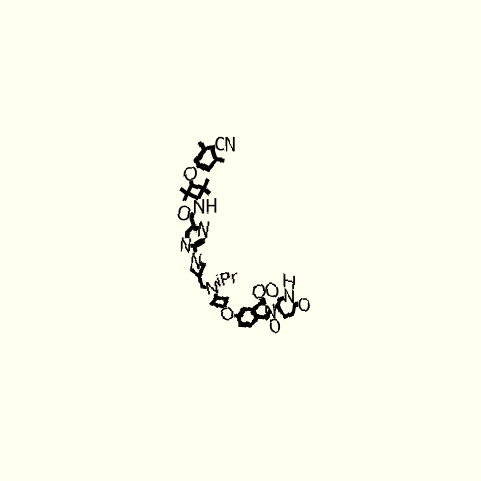 Cc1cc(OC2C(C)(C)C(NC(=O)c3cnc(N4CC(CN(C(C)C)C5CC(Oc6ccc7c(c6)C(=O)N([C@@H]6CCC(=O)NC6=O)C7=O)C5)C4)cn3)C2(C)C)cc(C)c1C#N